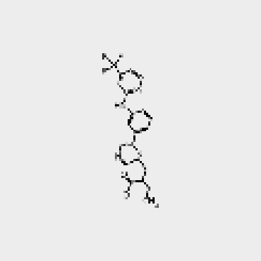 CCC(Cc1cncc(-c2cccc(Nc3nccc(C(F)(F)F)n3)c2)n1)C(=O)O